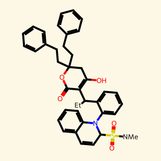 CCC(C1=C(O)CC(CCc2ccccc2)(CCc2ccccc2)OC1=O)c1ccccc1N1c2ccccc2C=CC1S(=O)(=O)NC